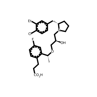 CCc1cc(C[C@@H]2CCCN2C[C@@H](O)CO[C@H](C)c2cc(F)ccc2CCC(=O)O)ccc1Cl